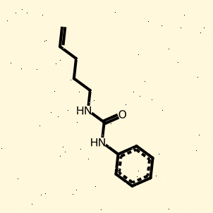 C=CCCCNC(=O)Nc1ccccc1